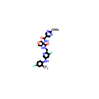 COc1ncc(C(=O)N[C@@]2(C(=O)NCc3ncc(Nc4ccc(F)cc4C(F)(F)F)cc3F)CCOC2)cn1